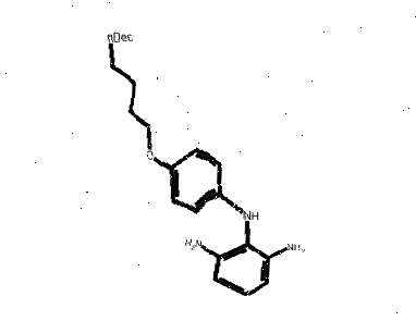 CCCCCCCCCCCCCCOc1ccc(Nc2c(N)cccc2N)cc1